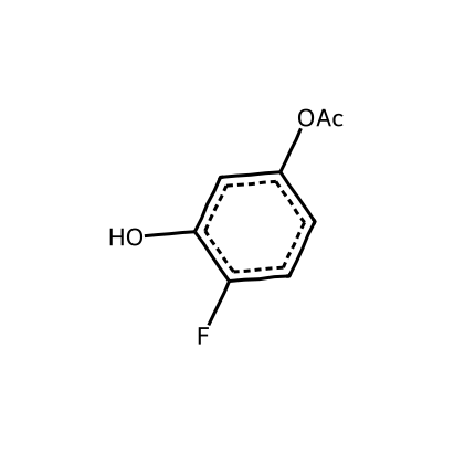 CC(=O)Oc1ccc(F)c(O)c1